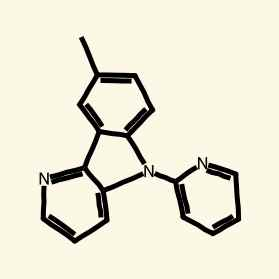 Cc1ccc2c(c1)c1ncccc1n2-c1ccccn1